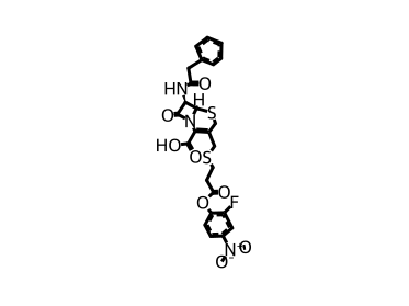 O=C(Cc1ccccc1)N[C@@H]1C(=O)N2C(C(=O)O)=C(CSCCC(=O)Oc3ccc([N+](=O)[O-])cc3F)CS[C@H]12